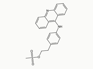 CS(=O)(=O)OCCc1ccc(Nc2c3ccccc3nc3ccccc23)cc1